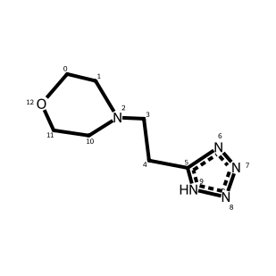 C1CN(CCc2nnn[nH]2)CCO1